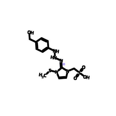 CSn1ccn(CS(=O)(=O)O)/c1=N/NNc1ccc(CO)cc1